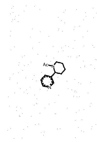 CC(=O)N1CCCCC1c1cccnc1